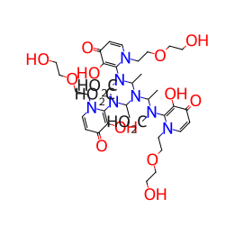 CC(N(C(=O)O)c1c(O)c(=O)ccn1CCOCCO)N(C(C)N(C(=O)O)c1c(O)c(=O)ccn1CCOCCO)C(C)N(C(=O)O)c1c(O)c(=O)ccn1CCOCCO